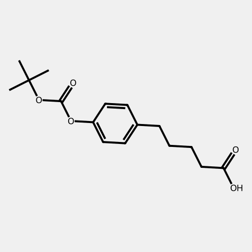 CC(C)(C)OC(=O)Oc1ccc(CCCCC(=O)O)cc1